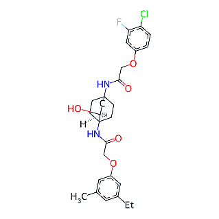 CCc1cc(C)cc(OCC(=O)NC23CCC(NC(=O)COc4ccc(Cl)c(F)c4)(CC2)C[C@@H]3O)c1